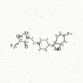 CCN(CCN1CCC(c2noc3cc(F)ccc23)CC1)C(=O)C(O)C(F)(F)F